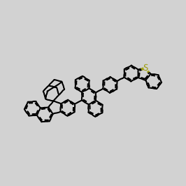 c1ccc2c3c(ccc2c1)-c1ccc(-c2c4ccccc4c(-c4ccc(-c5ccc6sc7ccccc7c6c5)cc4)c4ccccc24)cc1C31C2CC3CC(C2)CC1C3